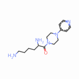 NCCCCC(N)C(=O)N1CCN(c2ccncc2)CC1